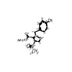 COC(=O)c1c([N+](C)=O)cnn1Cc1ccc(C#N)cc1